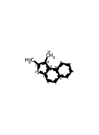 Cc1sc2ccc3ccccc3c2c1C